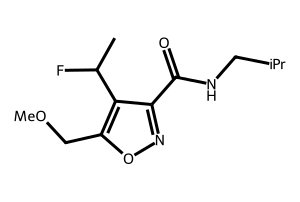 COCc1onc(C(=O)NCC(C)C)c1C(C)F